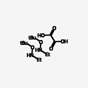 CCNOC(C)(C)C.CCNOC(C)(C)C.O=C(O)C(=O)O